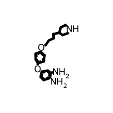 Nc1ccc(Oc2ccc(OCCCCC3CCNCC3)cc2)cc1N